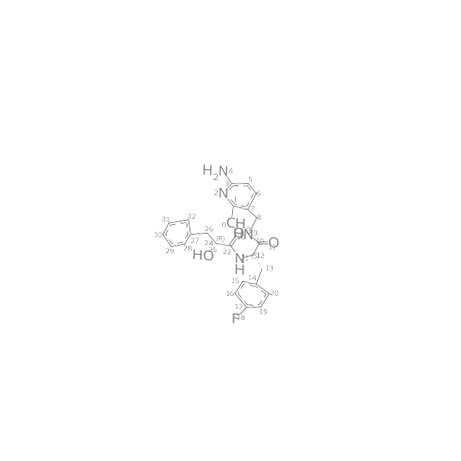 Cc1nc(N)ccc1CNC(=O)[C@H](Cc1ccc(F)cc1)NC(=O)[C@H](O)Cc1ccccc1